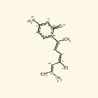 CCC(=C/C=C(\C)n1ccc(N)nc1=O)/C=C(\C)Cl